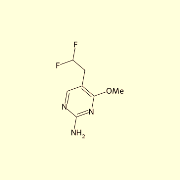 COc1nc(N)ncc1CC(F)F